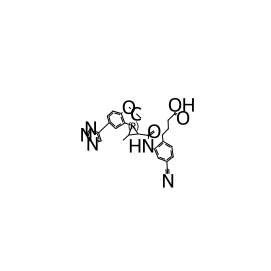 CC1C(C(=O)Nc2cc(C#N)ccc2CCCC(=O)O)[C@@]12CCOc1ccc(-c3cn(C)nn3)cc12